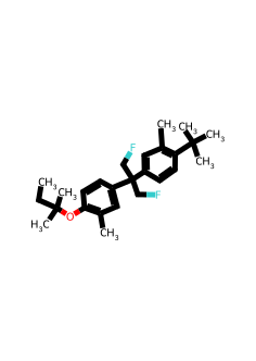 CCC(C)(C)Oc1ccc(C(CF)(CF)c2ccc(C(C)(C)C)c(C)c2)cc1C